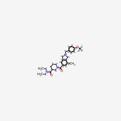 CCN(CC)C(=O)C1CCCN(C(=O)c2cc(C)c3c(c2)CN(Cc2ccc(OC(F)(F)F)cc2)C3)C1